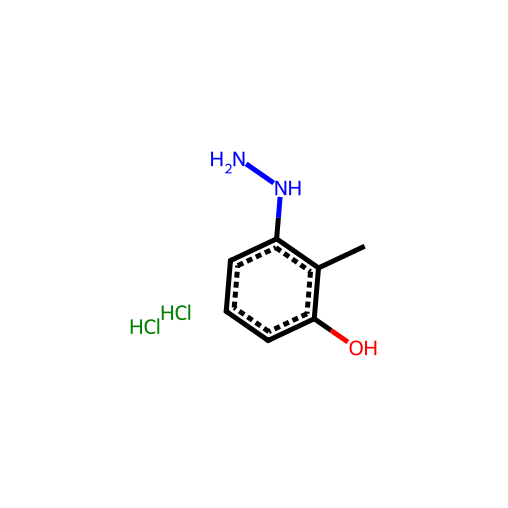 Cc1c(O)cccc1NN.Cl.Cl